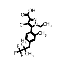 CCn1nc(C(=O)O)c(Cl)c1-c1ccc(CC(C)(C)C(F)(F)F)cc1C